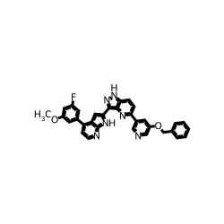 COc1cc(F)cc(-c2ccnc3[nH]c(-c4n[nH]c5ccc(-c6cncc(OCc7ccccc7)c6)nc45)cc23)c1